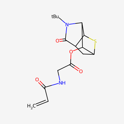 C=CC(=O)NCC(=O)OC1C2CC3C(=O)N(C(C)(C)C)C1C3S2